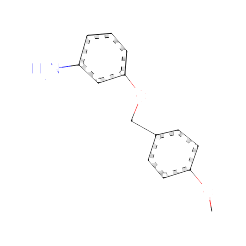 COc1ccc(COc2cccc(N)c2)cc1